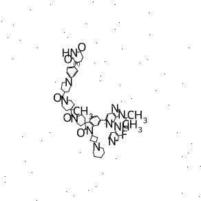 CC(C)n1cnc2cc(-c3ccc4c(c3)N(C3CC(N5CCCCC5)C3)C(=O)C43CCN(C(=O)C4(C)CCN(C(=O)C5CCN(c6ccc([C@H]7CCC(=O)NC7=O)cc6)CC5)CC4)CC3)nc(Nc3ccncc3F)c21